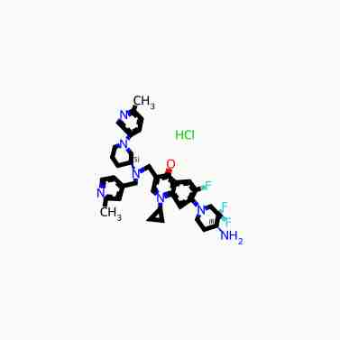 Cc1ccc(N2CCC[C@H](N(Cc3ccnc(C)c3)Cc3cn(C4CC4)c4cc(N5CC[C@@H](N)C(F)(F)C5)c(F)cc4c3=O)C2)cn1.Cl